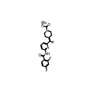 CC(C)(C)OC(=O)N1CCC(=C(F)c2cccc(NC(=O)c3ccc(F)cc3F)n2)CC1